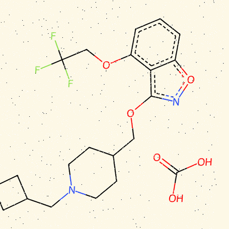 FC(F)(F)COc1cccc2onc(OCC3CCN(CC4CCC4)CC3)c12.O=C(O)O